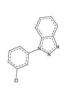 Clc1cccc(-n2nnc3ccccc32)c1